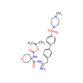 C=C(C)OC(=O)NC1(C(=O)N[C@H](N)Cc2ccc(-c3ccc(S(=O)(=O)N4CCN(C)CC4)cc3)cc2)CCOCC1